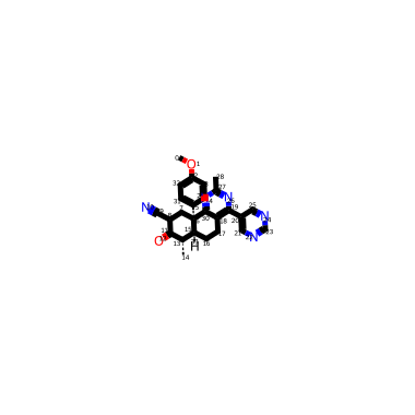 COc1ccc([C@@]23CC(C#N)C(=O)[C@@H](C)[C@@H]2CCc2c(-c4cncnc4)nc(C)nc23)cc1